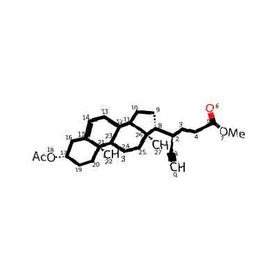 C#C[C@H](CCC(=O)OC)[C@H]1CCC2C3CC=C4C[C@@H](OC(C)=O)CC[C@]4(C)C3CC[C@@]21C